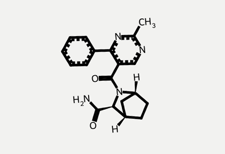 Cc1ncc(C(=O)N2[C@@H]3CC[C@@H](C3)[C@H]2C(N)=O)c(-c2ccccc2)n1